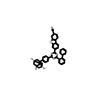 N#Cc1ccc2c(c1)oc1cc(-c3nc(-c4ccc(C56C[C@H]7C[C@@H](C5)C[C@@H](C6)C7)cc4)nc(-c4ccccc4-c4ccccc4)n3)ccc12